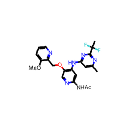 COc1cccnc1COc1cnc(NC(C)=O)cc1Nc1cc(C)nc(C(C)(F)F)n1